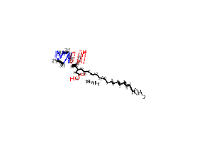 CCCCCCCCCCCCCCCCCC(CC(=O)O)C(O)CON1C=NCC1.[NaH]